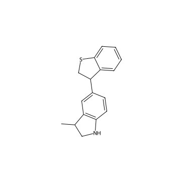 CC1CNc2ccc(C3CSc4ccccc43)cc21